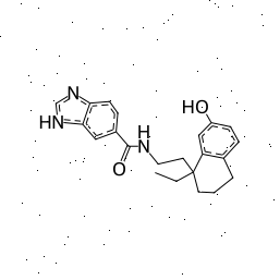 CCC1(CCNC(=O)c2ccc3nc[nH]c3c2)CCCc2ccc(O)cc21